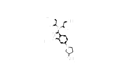 C=CC(=O)N(C(=O)C=C)c1nn(C)c2cc(N3CCC(N)C3)ccc12